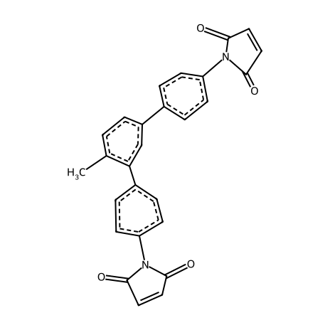 Cc1ccc(-c2ccc(N3C(=O)C=CC3=O)cc2)cc1-c1ccc(N2C(=O)C=CC2=O)cc1